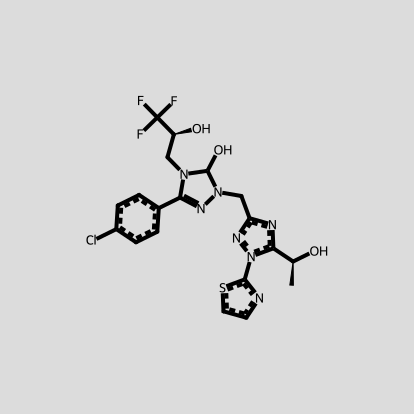 C[C@H](O)c1nc(CN2N=C(c3ccc(Cl)cc3)N(C[C@H](O)C(F)(F)F)C2O)nn1-c1nccs1